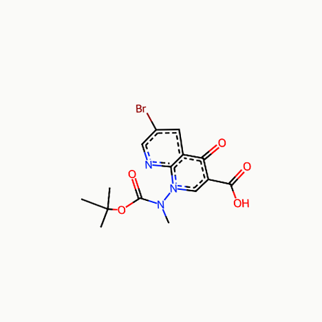 CN(C(=O)OC(C)(C)C)n1cc(C(=O)O)c(=O)c2cc(Br)cnc21